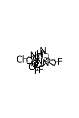 N#CCc1cn(CC(NS(=O)(=O)c2c(N)cc(Cl)cc2Cl)C(F)(F)F)c2ccc(F)cc12